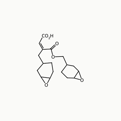 O=C(O)C=C(CC1CCC2OC2C1)C(=O)OCC1CCC2OC2C1